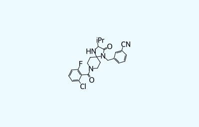 CC(C)C1NC2(CCN(C(=O)c3c(F)cccc3Cl)CC2)N(Cc2cccc(C#N)c2)C1=O